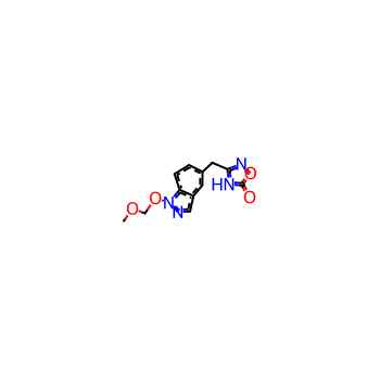 COCOn1ncc2cc(Cc3noc(=O)[nH]3)ccc21